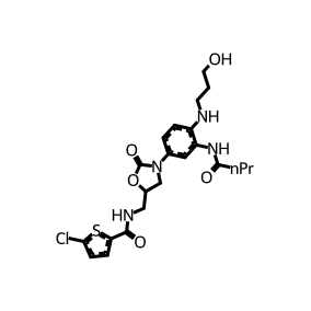 CCCC(=O)Nc1cc(N2CC(CNC(=O)c3ccc(Cl)s3)OC2=O)ccc1NCCCO